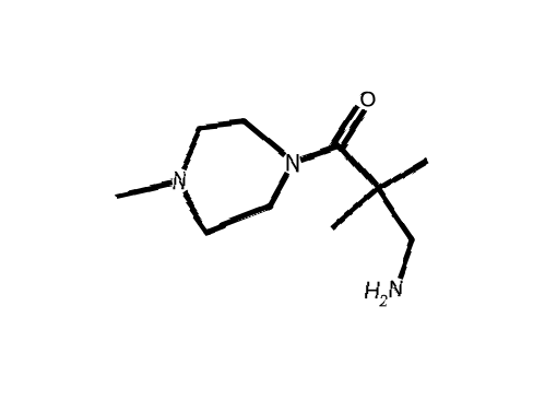 CN1CCN(C(=O)C(C)(C)CN)CC1